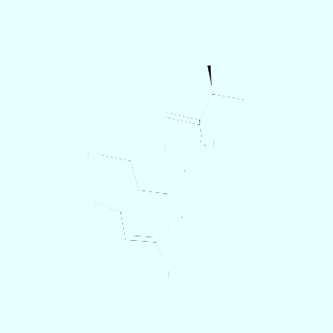 [2H][C@@](C)(NC(=O)[C@@H](C)F)c1cc(F)cc(Cl)c1CO